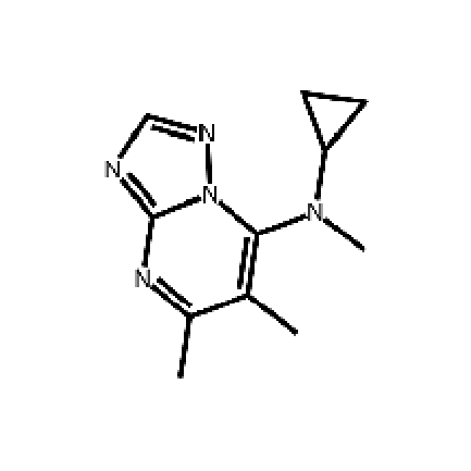 Cc1nc2ncnn2c(N(C)C2CC2)c1C